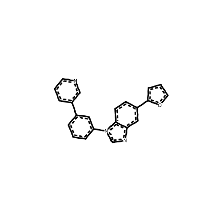 c1cncc(-c2cccc(-n3cnc4cc(-c5ccco5)ccc43)c2)c1